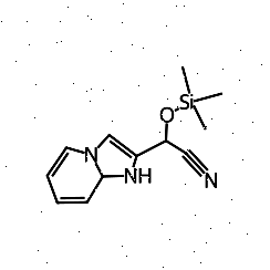 C[Si](C)(C)OC(C#N)C1=CN2C=CC=CC2N1